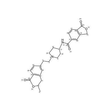 CC1Cc2cc(CCN3CCC(NC(=O)c4ccc5c(c4)COC5=O)CC3)ccc2C(=O)O1